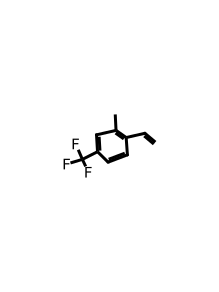 C=Cc1ccc(C(F)(F)F)cc1C